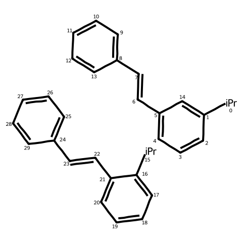 CC(C)c1cccc(C=Cc2ccccc2)c1.CC(C)c1ccccc1C=Cc1ccccc1